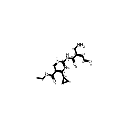 CCOC(=O)c1cnc(NC(=O)/C(=C\C=O)CN)nc1C1CC1